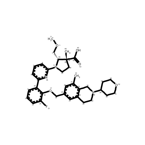 COC[C@H]1N(c2cccc(-c3cccc(F)c3OCc3cc(C)c4c(c3)CCN(C3CCOCC3)C4)n2)CC[C@@]1(C)C(=O)O